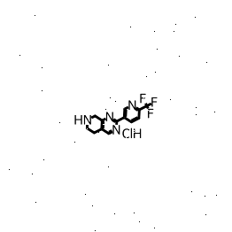 Cl.FC(F)(F)c1ccc(-c2ncc3c(n2)CNCC3)cn1